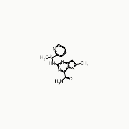 Cc1cc2nc(N[C@@H](C)c3ccccn3)nc(C(N)=O)c2s1